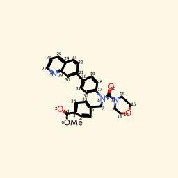 COC(=O)c1ccc(CN(C(=O)N2CCOCC2)c2ccc(-c3ccc4cccnc4c3)cc2)cc1